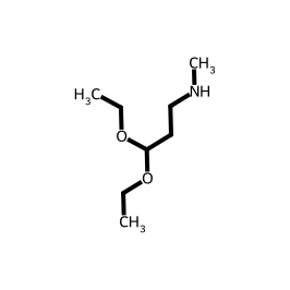 CCOC(CCNC)OCC